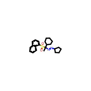 CC(/N=N/C1CCCC1)(C1CCCCC1)S(=O)(=O)c1cccc2ccccc12